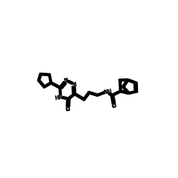 O=C(NCCCc1nnc(C2CCCC2)[nH]c1=O)C1CC2C=CC1C2